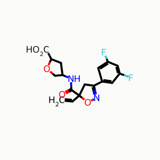 C=CC1(C(=O)NC2COC(C(=O)O)C2)CC(c2cc(F)cc(F)c2)=NO1